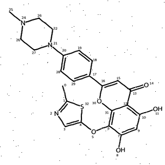 Cc1ncc(Oc2c(O)cc(O)c3c(=O)cc(-c4ccc(N5CCN(C)CC5)cc4)oc23)s1